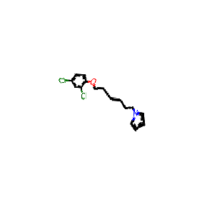 Clc1ccc(OCCCCCCn2cccc2)c(Cl)c1